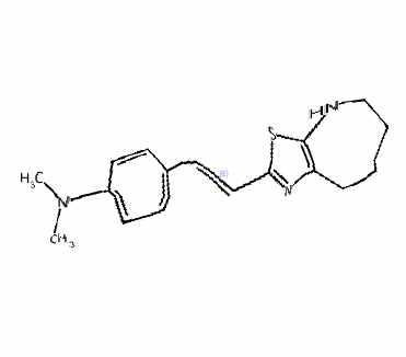 CN(C)c1ccc(/C=C/c2nc3c(s2)NCCCC3)cc1